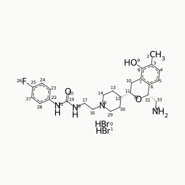 Br.Br.Cc1ccc2c(c1O)C[C@@H](C1CCN(CCNC(=O)Nc3ccc(F)cc3)CC1)O[C@H]2CN